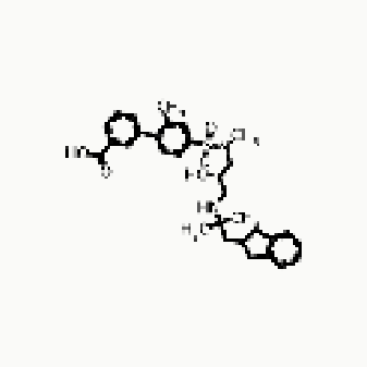 Cc1cc(S(=O)(=O)N(C)C[C@H](O)CNC(C)(C)CC2Cc3ccccc3C2)ccc1-c1cccc(C(=O)O)c1